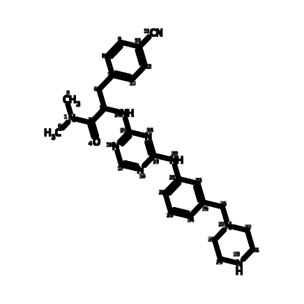 CN(C)C(=O)C(Cc1ccc(C#N)cc1)Nc1ncnc(Nc2cccc(CN3CCNCC3)c2)n1